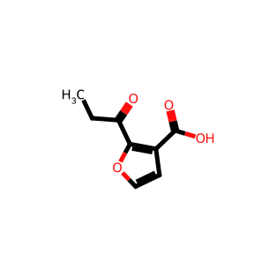 CCC(=O)c1occc1C(=O)O